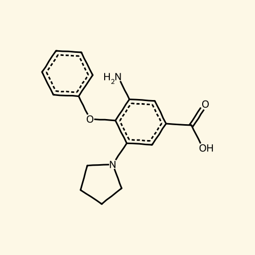 Nc1cc(C(=O)O)cc(N2CCCC2)c1Oc1ccccc1